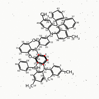 Cc1ccc(N(c2ccc3c(c2)Oc2cccc4c2B3c2ccc(N3c5ccc(C)cc5[Si](c5ccccc5)(c5ccccc5)c5cc(C)ccc53)cc2O4)c2ccc(C)cc2[SiH](c2ccccc2)c2ccccc2)c(C)c1